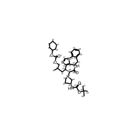 CC(COC(=O)OC1CCCCC1)CC(c1ncn2c1CCc1ccccc1-2)[C@@H](C(=O)O)N1CC[C@H](NC(=O)OC(C)(C)C)C1